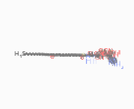 CCCCCCCCCCCCCCCCCCCC(=O)CCCCCCCCCCCCCCCCCCCC(=O)SCCNC(=O)CCNC(=O)[C@H](O)C(C)(C)COP(=O)(O)OP(=O)(O)OC[C@H]1O[C@@H](n2cnc3c(N)ncnc32)[C@H](O)[C@@H]1OP(=O)(O)O